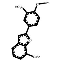 CCCOc1ccc(-c2cc3cccc(OC)c3o2)cc1C(=O)O